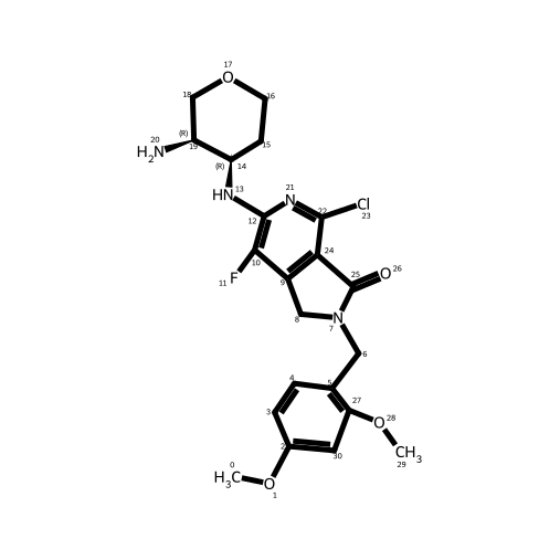 COc1ccc(CN2Cc3c(F)c(N[C@@H]4CCOC[C@@H]4N)nc(Cl)c3C2=O)c(OC)c1